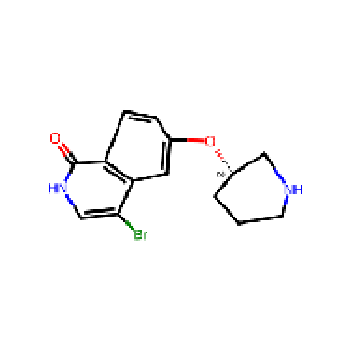 O=c1[nH]cc(Br)c2cc(O[C@H]3CCCNC3)ccc12